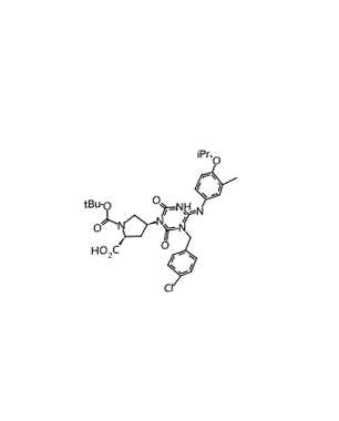 Cc1cc(/N=c2\[nH]c(=O)n([C@H]3C[C@@H](C(=O)O)N(C(=O)OC(C)(C)C)C3)c(=O)n2Cc2ccc(Cl)cc2)ccc1OC(C)C